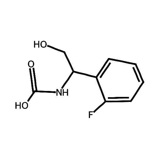 O=C(O)NC(CO)c1ccccc1F